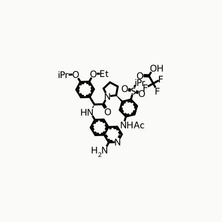 CCOc1cc([C@@H](Nc2ccc3c(N)nccc3c2)C(=O)N2CCC[C@H]2c2cc(NC(C)=O)ccc2S(=O)(=O)C(C)C)ccc1OC(C)C.O=C(O)C(F)(F)F